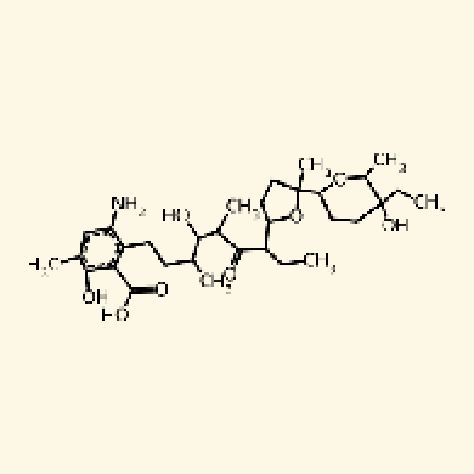 CCC(C(=O)C(C)C(O)C(C)CCc1c(N)cc(C)c(O)c1C(=O)O)C1CCC(C)(C2CCC(O)(CC)C(C)O2)O1